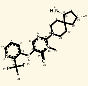 C[C@H]1C[C@@H](N)C2(CCN(c3ncc(Sc4cccnc4C(F)(F)F)c(=O)n3C)CC2)C1